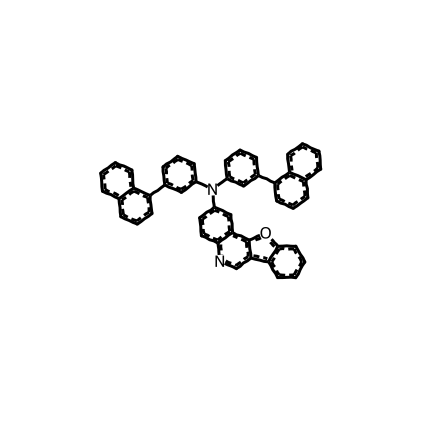 c1cc(-c2cccc3ccccc23)cc(N(c2cccc(-c3cccc4ccccc34)c2)c2ccc3ncc4c5ccccc5oc4c3c2)c1